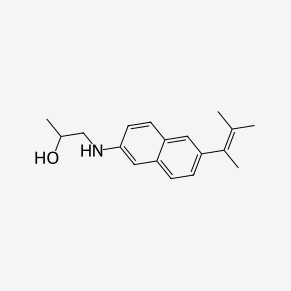 CC(C)=C(C)c1ccc2cc(NCC(C)O)ccc2c1